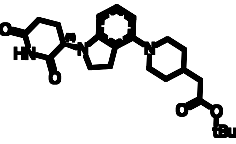 CC(C)(C)OC(=O)CC1CCN(c2cccc3c2CCN3[C@@H]2CCC(=O)NC2=O)CC1